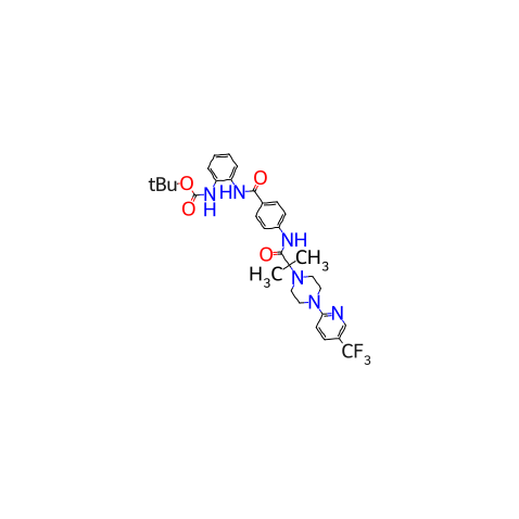 CC(C)(C)OC(=O)Nc1ccccc1NC(=O)c1ccc(NC(=O)C(C)(C)N2CCN(c3ccc(C(F)(F)F)cn3)CC2)cc1